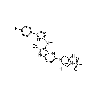 CCc1nc2ccc(N3C[C@H]4C[C@H]3CN4S(C)(=O)=O)nn2c1N(C)c1nc(-c2ccc(F)cc2)cs1